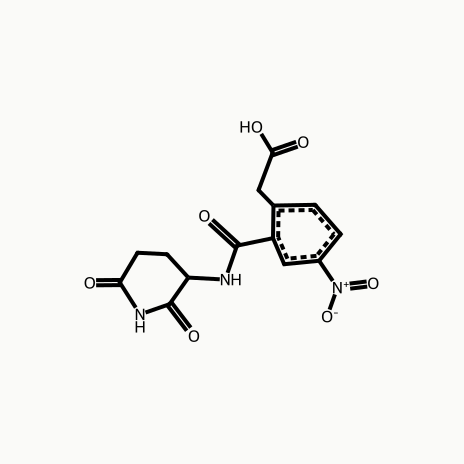 O=C(O)Cc1ccc([N+](=O)[O-])cc1C(=O)NC1CCC(=O)NC1=O